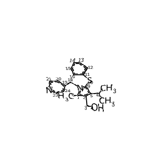 Cc1c(CO)c(C(C)C)c(Sc2ccccc2)n1Cc1ccncc1